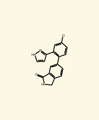 O=C1NCc2ccc(-c3ccc(Cl)cc3-c3cc[nH]n3)cc21